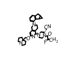 C=C(F)C(=O)N1CCN(c2nc(OCC34CCCN3CCC4)cc3c2CCN(c2cccc4c2C2CC2C4)C3)C[C@@H]1CC#N